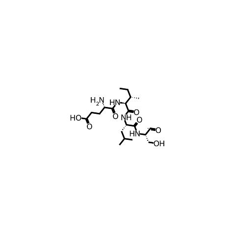 CC[C@H](C)[C@H](NC(=O)[C@@H](N)CCC(=O)O)C(=O)N[C@@H](CC(C)C)C(=O)N[C@H]([C]=O)CO